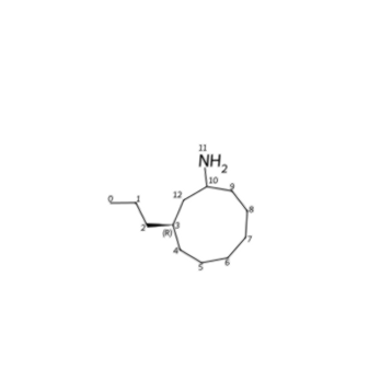 CCC[C@@H]1CCCCCCC(N)C1